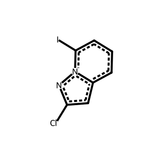 Clc1cc2cccc(I)n2n1